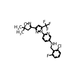 CC1(C)CC(c2cc(C(F)(F)F)n(-c3ccc(NCc4c(F)cccc4Cl)cn3)n2)=NO1